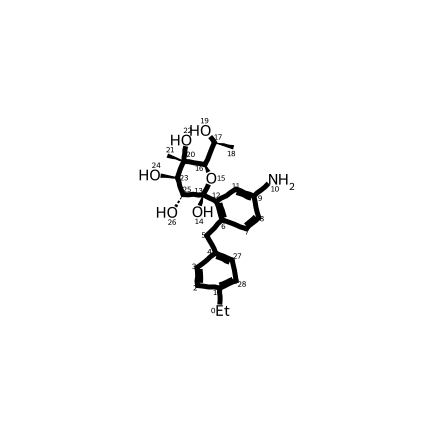 CCc1ccc(Cc2ccc(N)cc2[C@@]2(O)O[C@H]([C@H](C)O)[C@@](C)(O)[C@H](O)[C@H]2O)cc1